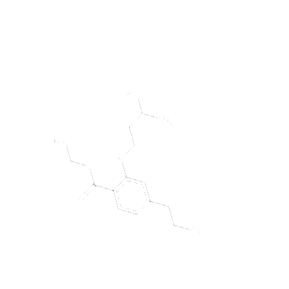 CCCc1ccc(C(=O)OCC)c(OCCC(C)C)c1